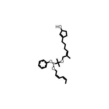 C/C=C\C=C/COP(Oc1ccccc1)C(C)(C)OC/C(C)=C\CCCC1=CC(O)CC1